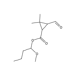 CCCC(OC)OC(=O)C1C(C=O)C1(C)C